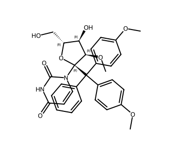 COc1ccc(C(c2ccccc2)(c2ccc(OC)cc2)[C@@]2(n3ccc(=O)[nH]c3=O)O[C@H](CO)[C@@H](O)[C@H]2OC)cc1